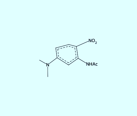 CC(=O)Nc1cc(N(C)C)ccc1[N+](=O)[O-]